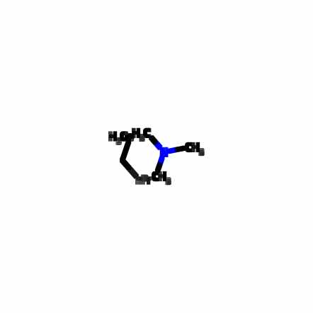 CCC[CH2][GeH3].CN(C)C